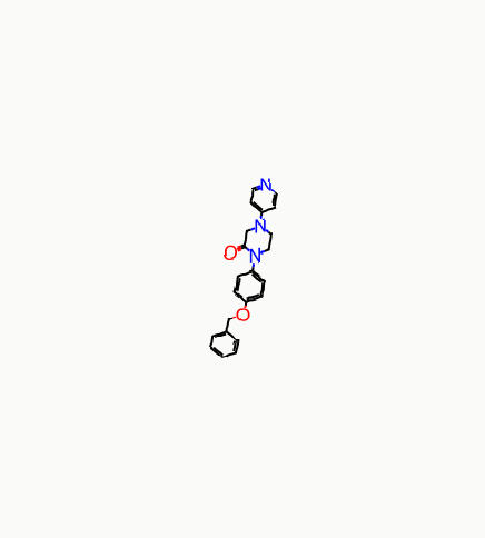 O=C1CN(c2ccncc2)CCN1c1ccc(OCc2ccccc2)cc1